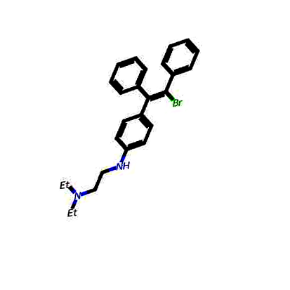 CCN(CC)CCNc1ccc(C(=C(Br)c2ccccc2)c2ccccc2)cc1